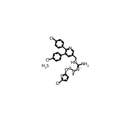 CN(/N=C(/N)NCc1cnc(-c2ccc(Cl)cc2)c(-c2ccc(Cl)cc2)c1)SOc1ccc(Cl)s1.S